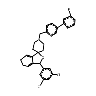 Fc1cccc(-c2ccc(CN3CCC4(CC3)OC(c3cc(Cl)cc(Cl)c3)C3=CCCC=C34)nc2)c1